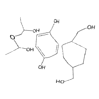 CC(O)OC(C)O.OCC1CCC(CO)CC1.Oc1ccc(O)cc1